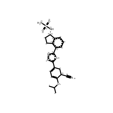 CC(C)OC1=CC=C(c2nnc(-c3cccc4c3CC[C@@H]4NS(N)(=O)=O)s2)CC1C#N